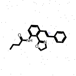 CCCC(=O)Nc1cccc(/C=C/c2ccccc2)c1C1=NCCO1